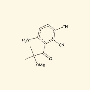 COC(C)(C)C(=O)c1c(N)ccc(C#N)c1C#N